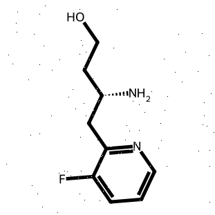 N[C@@H](CCO)Cc1ncccc1F